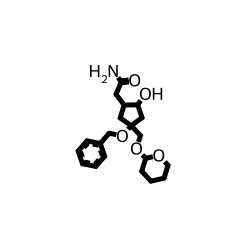 NC(=O)CC1CC(COC2CCCCO2)(OCc2ccccc2)CC1O